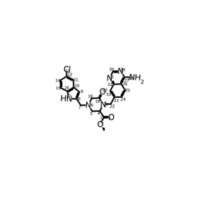 COC(=O)C1CN(Cc2cc3cc(Cl)ccc3[nH]2)CC(=O)N1Cc1ccc2c(N)ncnc2c1